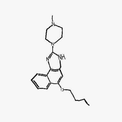 CCCCOc1cc2[nH]c(N3CCN(C)CC3)nc2c2ccccc12